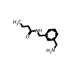 CCCC(=O)NCc1cccc(CN)c1